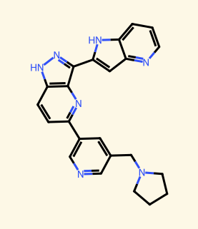 c1cnc2cc(-c3n[nH]c4ccc(-c5cncc(CN6CCCC6)c5)nc34)[nH]c2c1